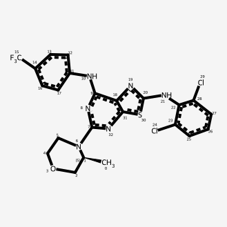 C[C@H]1COCCN1c1nc(Nc2ccc(C(F)(F)F)cc2)c2nc(Nc3c(Cl)cccc3Cl)sc2n1